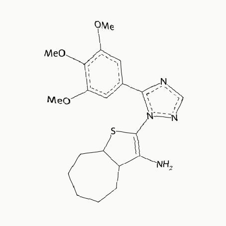 COc1cc(-c2ncnn2C2=C(N)C3CCCCCC3S2)cc(OC)c1OC